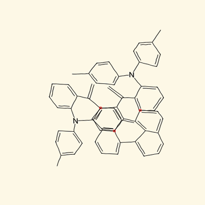 C=C(c1ccccc1N(c1ccc(C)cc1)c1ccc(C)cc1)c1cc2cccc3c4cccc5cccc(c(c1C(=C)c1ccccc1N(c1ccc(C)cc1)c1ccc(C)cc1)c23)c54